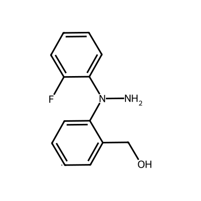 NN(c1ccccc1F)c1cc[c]cc1CO